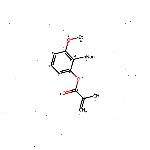 C=C(C)C(=O)Oc1cccc(OCC)c1CCCCCCCCC